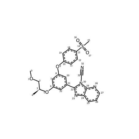 COC[C@H](C)Oc1cc(Oc2ccc(S(C)(=O)=O)cc2)cc(-c2nc3cccnc3n2C#N)c1